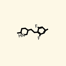 Cc1cc(F)c(CCC2CCC(C)NC2)c(F)c1